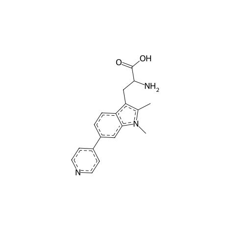 Cc1c(CC(N)C(=O)O)c2ccc(-c3ccncc3)cc2n1C